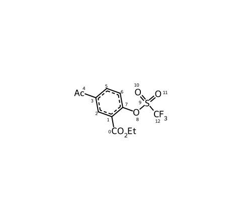 CCOC(=O)c1cc(C(C)=O)ccc1OS(=O)(=O)C(F)(F)F